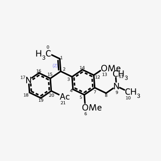 C/C=C(/c1cc(OC)c(CN(C)C)c(OC)c1)c1cnccc1C(C)=O